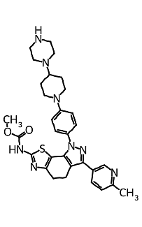 COC(=O)Nc1nc2c(s1)-c1c(c(-c3ccc(C)nc3)nn1-c1ccc(N3CCC(N4CCNCC4)CC3)cc1)CC2